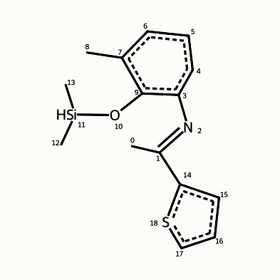 CC(=Nc1cccc(C)c1O[SiH](C)C)c1cccs1